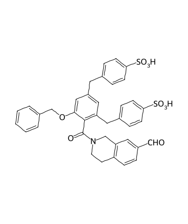 O=Cc1ccc2c(c1)CN(C(=O)c1c(Cc3ccc(S(=O)(=O)O)cc3)cc(Cc3ccc(S(=O)(=O)O)cc3)cc1OCc1ccccc1)CC2